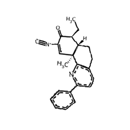 [C-]#[N+]C1=C[C@]2(C)c3nc(-c4ccccc4)ccc3CC[C@H]2[C@H](CC)C1=O